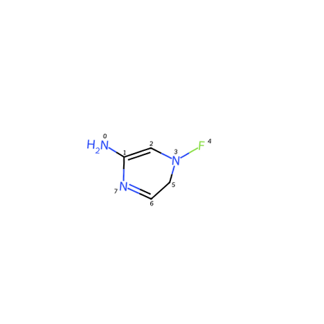 NC1=CN(F)CC=N1